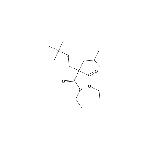 CCOC(=O)C(CSC(C)(C)C)(CC(C)C)C(=O)OCC